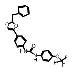 O=C(Nc1ccc(OC(F)(F)F)cc1)Nc1ccc(C2=COC(Cc3ccccc3)O2)cc1